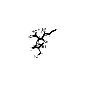 CCC[C@H](N)C1=C(C(=O)O)N2C(=O)[C@H](CO)[C@H]2S1